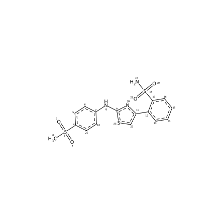 CS(=O)(=O)c1ccc(Nc2nc(-c3ccccc3S(N)(=O)=O)cs2)cc1